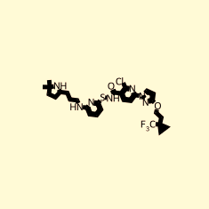 CC1(C)CCC(CCCNc2cccc(SNC(=O)c3ccc(-n4ccc(OCCC5(C(F)(F)F)CC5)n4)nc3Cl)n2)N1